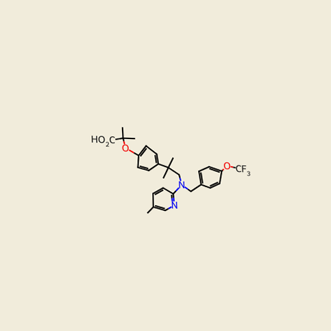 Cc1ccc(N(Cc2ccc(OC(F)(F)F)cc2)CC(C)(C)c2ccc(OC(C)(C)C(=O)O)cc2)nc1